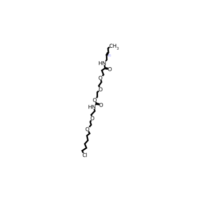 CC/C=C/CNC(=O)CCOCCOCCOC(=O)NCCOCCOCCCCCCCl